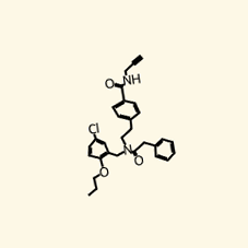 C#CCNC(=O)c1ccc(CCN(Cc2cc(Cl)ccc2OCCC)C(=O)Cc2ccccc2)cc1